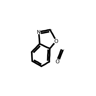 [CH]=O.[c]1nc2ccccc2o1